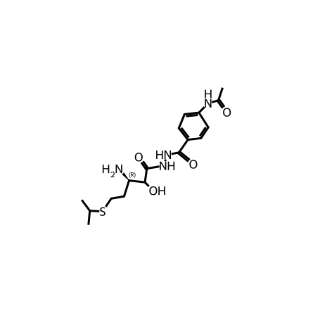 CC(=O)Nc1ccc(C(=O)NNC(=O)C(O)[C@H](N)CCSC(C)C)cc1